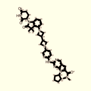 CN(C)C(=O)c1cc2cnc(Nc3ccc(N4CC(C5CN(c6cccc7c6C(C)(C)C(=O)N7[C@H]6CCC(=O)NC6=O)C5)C4)cn3)nc2n1C1CCCC1